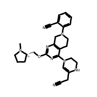 CN1CCC[C@H]1COc1nc2c(c(N3C=C(CC#N)NCC3)n1)CCN(c1ccccc1C#N)C2